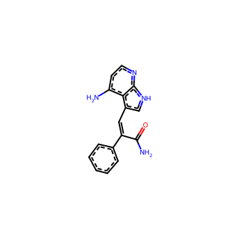 NC(=O)C(=Cc1c[nH]c2nccc(N)c12)c1ccccc1